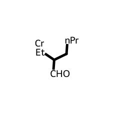 CCCCC(C=O)CC.[Cr]